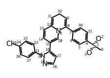 CS(=O)(=O)c1ccc(C2=CCC=C3C=CC(c4ccnn4-c4ccc(Cl)cc4)=CN32)cc1